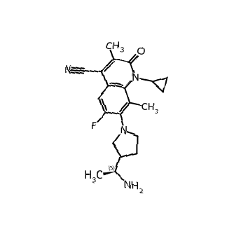 Cc1c(C#N)c2cc(F)c(N3CCC([C@H](C)N)C3)c(C)c2n(C2CC2)c1=O